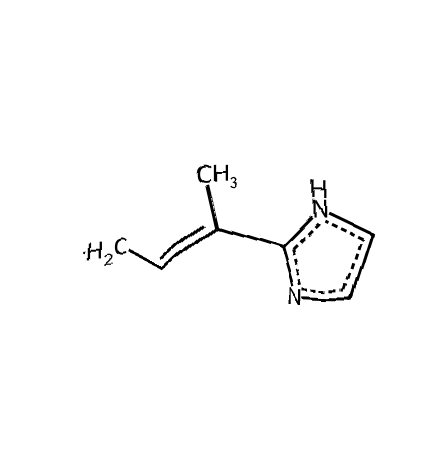 [CH2]C=C(C)c1ncc[nH]1